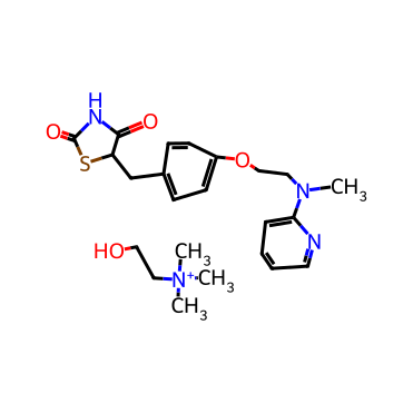 CN(CCOc1ccc(CC2SC(=O)NC2=O)cc1)c1ccccn1.C[N+](C)(C)CCO